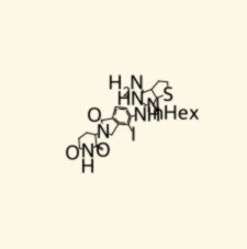 CCCCCCN1C(Nc2ccc3c(c2I)CN(C2CCC(=O)NC2=O)C3=O)NC(N)C2CCSC21